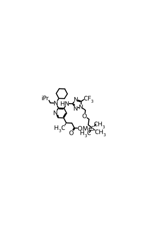 COC(=O)C[C@@H](C)c1cnc(N(CC(C)C)C2CCCCC2)c(Nc2nc(C(F)(F)F)n(COCCS(C)(C)C)n2)c1